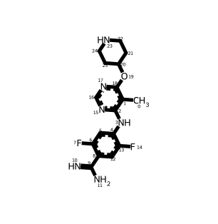 Cc1c(Nc2cc(F)c(C(=N)N)cc2F)ncnc1OC1CCNCC1